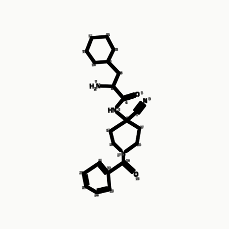 N#CC1(NC(=O)C(N)CC2CCCCC2)CCN(C(=O)c2ccccc2)CC1